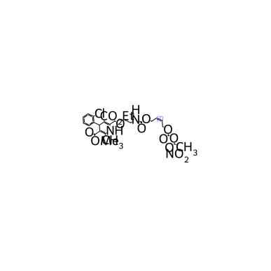 CCOC(=O)C1=C(COCCNC(=O)OC/C=C\COC(=O)OC(C)O[N+](=O)[O-])NC(C)=C(C(=O)OC)C1c1ccccc1Cl